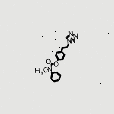 CN(C(=O)Oc1ccc(CCn2cnnn2)cc1)c1ccccc1